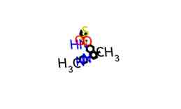 Cc1ccc(N2CCN(C)CC2)c2c1CC[C@@H](NS(=O)(=O)c1ccsc1)C2